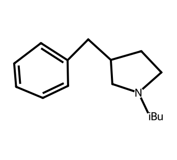 CCC(C)N1CCC(Cc2ccccc2)C1